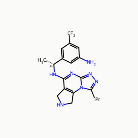 CC(C)c1nnc2nc(N[C@H](C)c3cc(N)cc(C(F)(F)F)c3)c3c(n12)CNC3